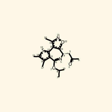 CC(=O)C[C@@H]1N=C(OC(C)C)c2c(sc(C)c2C)-c2c(C)noc21